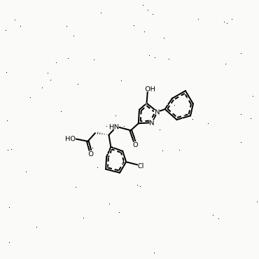 O=C(O)C[C@H](NC(=O)c1cc(O)n(-c2ccccc2)n1)c1cccc(Cl)c1